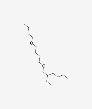 CCCCOCCCCOCC(CC)CCCC